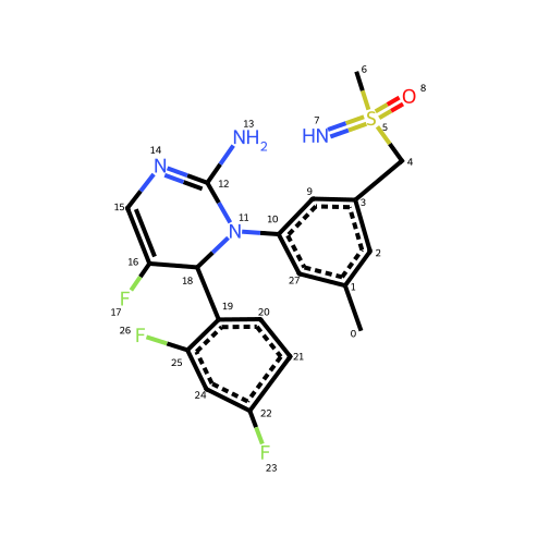 Cc1cc(CS(C)(=N)=O)cc(N2C(N)=NC=C(F)C2c2ccc(F)cc2F)c1